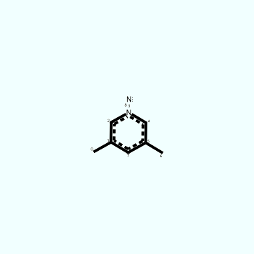 Cc1cncc(C)c1.[N]